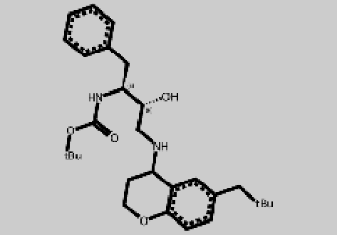 CC(C)(C)Cc1ccc2c(c1)C(NC[C@@H](O)[C@H](Cc1ccccc1)NC(=O)OC(C)(C)C)CCO2